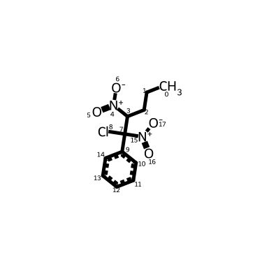 CCCC([N+](=O)[O-])C(Cl)(c1ccccc1)[N+](=O)[O-]